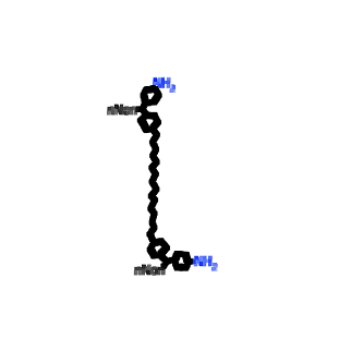 CCCCCCCCCC(c1ccc(N)cc1)c1ccc(CCCCCCCCCCCCCCCCc2ccc(C(CCCCCCCCC)c3ccc(N)cc3)cc2)cc1